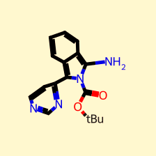 CC(C)(C)OC(=O)n1c(N)c2ccccc2c1-c1ccncn1